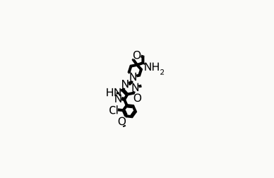 COc1cccc(-c2n[nH]c3nc(N4CCC5(CC4)COC[C@H]5N)n(C)c(=O)c23)c1Cl